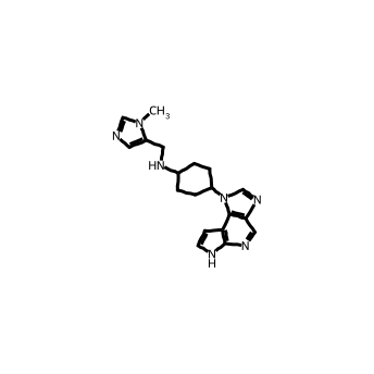 Cn1cncc1CNC1CCC(n2cnc3cnc4[nH]ccc4c32)CC1